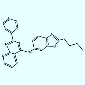 CCCCc1nc2ccc(Nc3nc(-c4ccncc4)nc4ncccc34)cc2o1